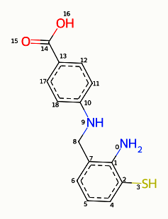 Nc1c(S)cccc1CNc1ccc(C(=O)O)cc1